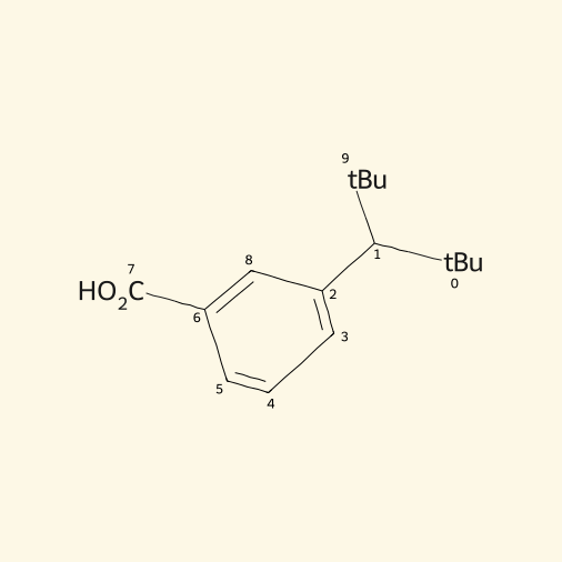 CC(C)(C)C(c1cccc(C(=O)O)c1)C(C)(C)C